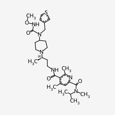 CONC(=O)N(Cc1ccsc1)C1CCN([C@H](C)CCNC(=O)c2c(C)cc(C(=O)N(C)C(C)C)nc2C)CC1